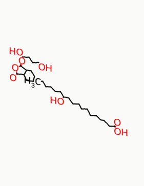 CCCCCCC(O)CCCCCCCCCCC(=O)O.O=C1OC(=O)C2CCCCC12.OCCCCO